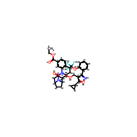 CCOC(=O)c1ccc2c(c1)N(C(=O)N1C3CCC(COCc4c(-c5ccccc5OC(F)(F)F)noc4C4CC4)C1CC3)CCC2